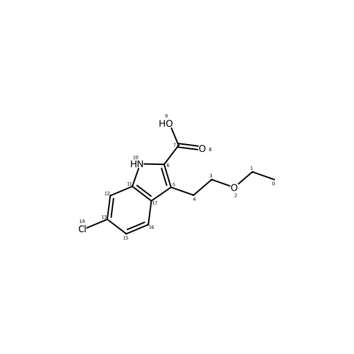 CCOCCc1c(C(=O)O)[nH]c2cc(Cl)ccc12